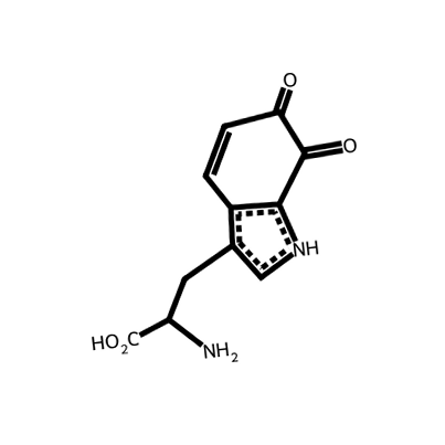 NC(Cc1c[nH]c2c1C=CC(=O)C2=O)C(=O)O